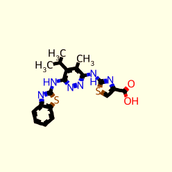 Cc1c(Nc2nc(C(=O)O)cs2)nnc(Nc2nc3ccccc3s2)c1C(C)C